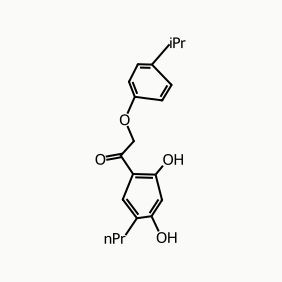 CCCc1cc(C(=O)COc2ccc(C(C)C)cc2)c(O)cc1O